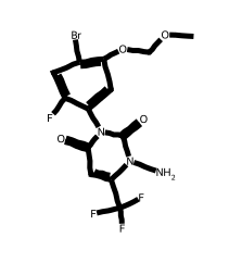 COCOc1cc(-n2c(=O)cc(C(F)(F)F)n(N)c2=O)c(F)cc1Br